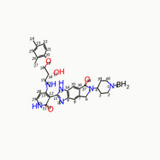 BN1CCC(N2Cc3cc4nc(-c5c(NC[C@@H](O)COc6ccc(C)cc6C)cc[nH]c5=O)[nH]c4cc3C2=O)CC1